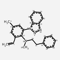 C=Cc1cc(C)cc(-n2nnc3ccccc32)c1N(C)CCc1ccccc1